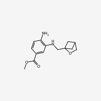 COC(=O)c1ccc(N)c(NCC23CC(CO2)C3)c1